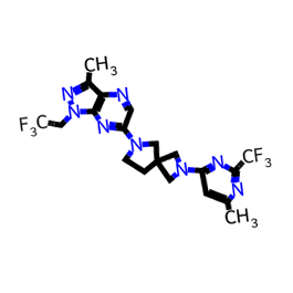 Cc1cc(N2CC3(CCN(c4cnc5c(C)nn(CC(F)(F)F)c5n4)C3)C2)nc(C(F)(F)F)n1